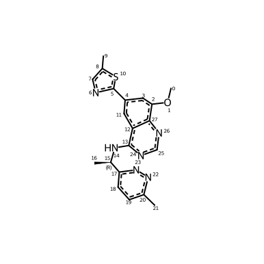 COc1cc(-c2ncc(C)s2)cc2c(N[C@H](C)c3ccc(C)nn3)ncnc12